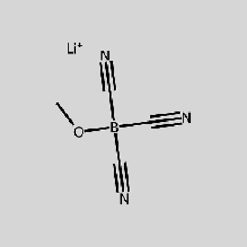 CO[B-](C#N)(C#N)C#N.[Li+]